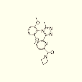 COc1cccc(OC)c1-n1c(C)nnc1-c1cccc(C(=O)N2CCC2)n1